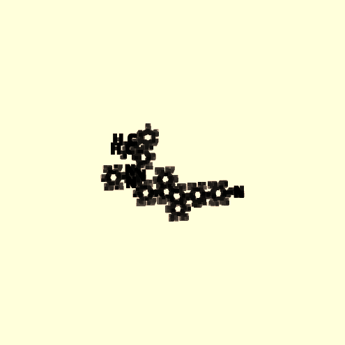 CC1(C)c2ccccc2-c2ccc(-c3nc(-c4ccccc4)nc(-c4cccc(-c5cc6c7ccccc7c(-c7ccc(-c8ccc(C#N)cc8)cc7)cc6c6ccccc56)c4)n3)cc21